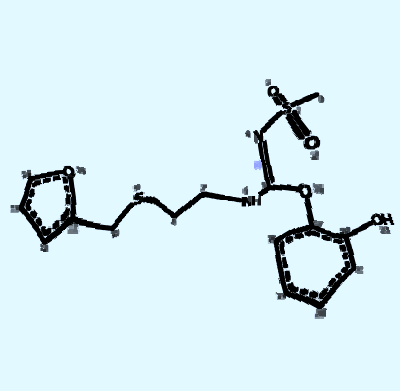 CS(=O)(=O)/N=C(/NCCSCc1ccco1)Oc1ccccc1O